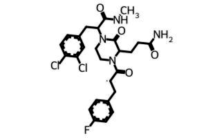 CNC(=O)C(Cc1ccc(Cl)c(Cl)c1)N1CCN(C(=O)[CH]Cc2ccc(F)cc2)C(CCC(N)=O)C1=O